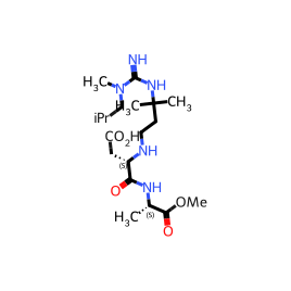 COC(=O)[C@H](C)NC(=O)[C@H](CC(=O)O)NCCC(C)(C)NC(=N)N(C)CC(C)C